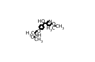 CC(=O)NC(C)COc1ccc([C@H](O)c2ccc(OC(C)C)nc2)cc1